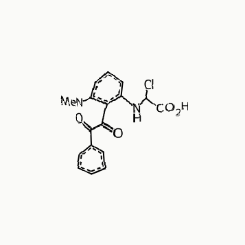 CNc1cccc(NC(Cl)C(=O)O)c1C(=O)C(=O)c1ccccc1